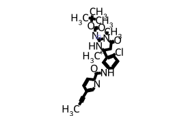 CC#Cc1ccc(C(=O)Nc2ccc(Cl)c([C@]3(C)CC(=O)N(C)/C(=N\C(=O)OC(C)(C)C)N3)c2)nc1